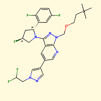 C[Si](C)(C)CCOCn1nc(N2C[C@@H](F)C[C@@H]2c2cc(F)ccc2F)c2cc(-c3cnn(CC(F)F)c3)cnc21